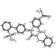 CS(=O)(=O)c1ccccc1-c1ccc(NC(=O)N(Cc2ccccc2F)Nc2cccc(C(=N)N)c2)cc1